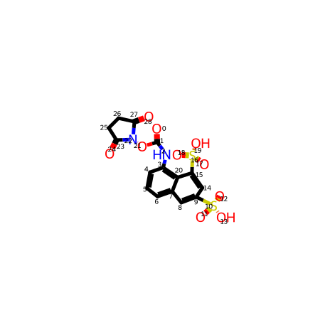 O=C(Nc1cccc2cc(S(=O)(=O)O)cc(S(=O)(=O)O)c12)ON1C(=O)CCC1=O